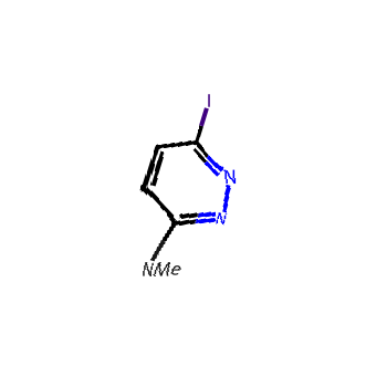 CNc1ccc(I)nn1